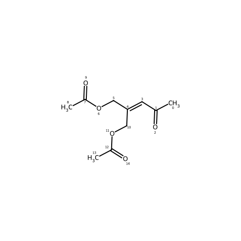 CC(=O)C=C(COC(C)=O)COC(C)=O